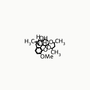 COc1ccc2c3c1O[C@H]1[C@@]4(CCC5(O)[C@@H](C2)N(C)CC[C@]315)O[C@H](C)C[C@H](C)O4